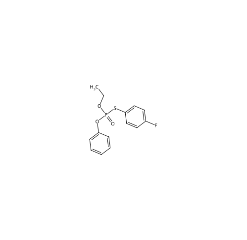 CCOP(=O)(Oc1ccccc1)Sc1ccc(F)cc1